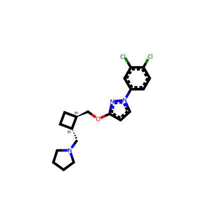 Clc1ccc(-n2ccc(OC[C@@H]3CC[C@H]3CN3CCCC3)n2)cc1Cl